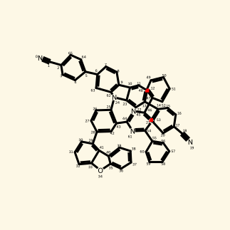 N#Cc1ccc(-c2ccc3c4ccc(-c5ccc(C#N)cc5)cc4n(-c4ccc(-c5cccc6oc7ccccc7c56)cc4-c4nc(-c5ccccc5)nc(-c5ccccc5)n4)c3c2)cc1